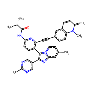 C=C1C=Cc2cc(C#Cc3nc(NC(=O)[C@H](C)NC)ccc3-c3c(-c4cnc(C)nc4)nc4cc(C)ccn34)ccc2N1C